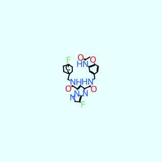 O=C1COc2ccc(CNC(=O)c3cc(C(=O)NCC45CCC(F)(CC4)CC5)n4ncc(F)c4n3)cc2N1